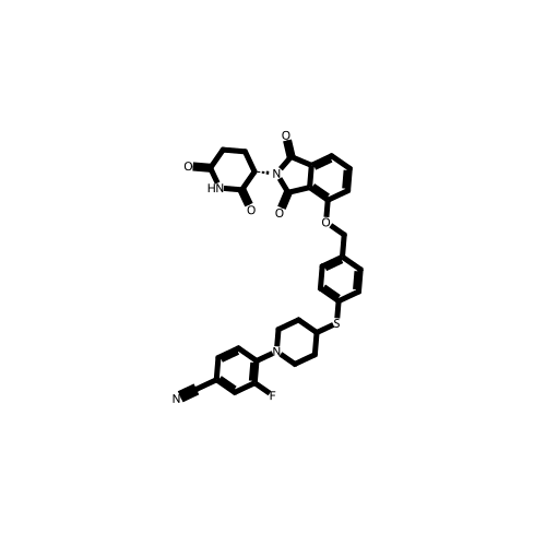 N#Cc1ccc(N2CCC(Sc3ccc(COc4cccc5c4C(=O)N([C@H]4CCC(=O)NC4=O)C5=O)cc3)CC2)c(F)c1